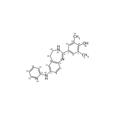 Cc1cc(C2=Nc3ccc(Nc4ccccn4)cc3CCN2)cc(C)c1O